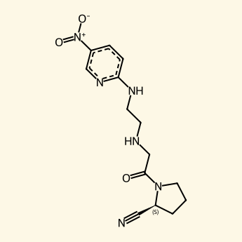 N#C[C@@H]1CCCN1C(=O)CNCCNc1ccc([N+](=O)[O-])cn1